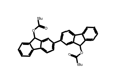 CC(C)(C)C(=O)OC1c2ccccc2-c2ccc(-c3ccc4c(c3)C(OC(=O)C(C)(C)C)c3ccccc3-4)cc21